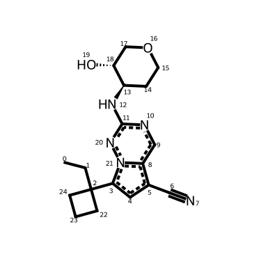 CCC1(c2cc(C#N)c3cnc(N[C@@H]4CCOC[C@H]4O)nn23)CCC1